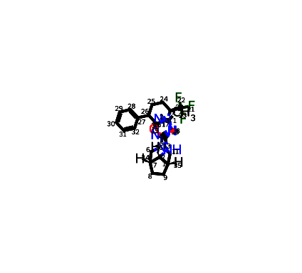 Cc1noc(N2C[C@H]3CC[C@@H](C2)[C@@H]3Nc2nc3n(n2)C(C(F)(F)F)CCC3c2ccccc2)n1